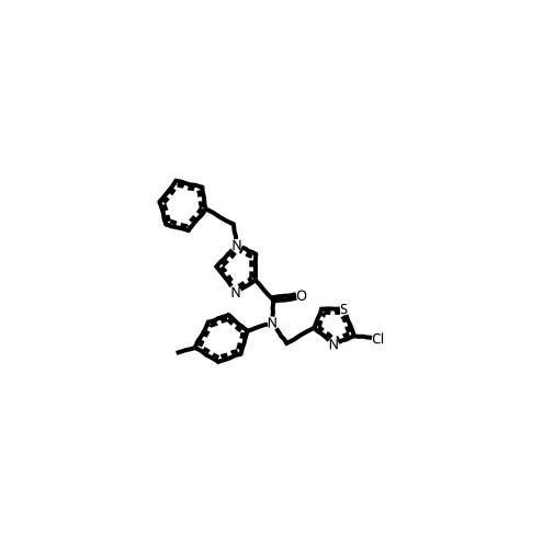 Cc1ccc(N(Cc2csc(Cl)n2)C(=O)c2cn(Cc3ccccc3)cn2)cc1